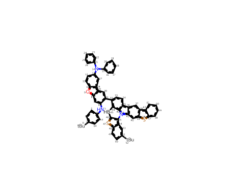 CC(C)(C)c1ccc(Nc2cc3oc4ccc(N(c5ccccc5)c5ccccc5)cc4c3cc2-c2ccc3c4cc5c(cc4n4c3c2Bc2sc3ccc(C(C)(C)C)cc3c2-4)sc2ccccc25)cc1